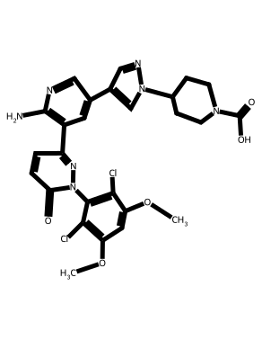 COc1cc(OC)c(Cl)c(-n2nc(-c3cc(-c4cnn(C5CCN(C(=O)O)CC5)c4)cnc3N)ccc2=O)c1Cl